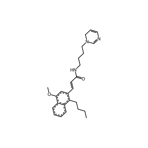 CCCCc1c(/C=C/C(=O)NCCCCN2C=NC=CC2)cc(OC)c2ccccc12